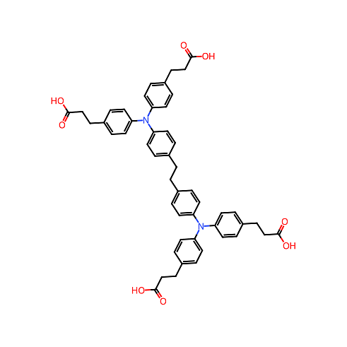 O=C(O)CCc1ccc(N(c2ccc(CCC(=O)O)cc2)c2ccc(CCc3ccc(N(c4ccc(CCC(=O)O)cc4)c4ccc(CCC(=O)O)cc4)cc3)cc2)cc1